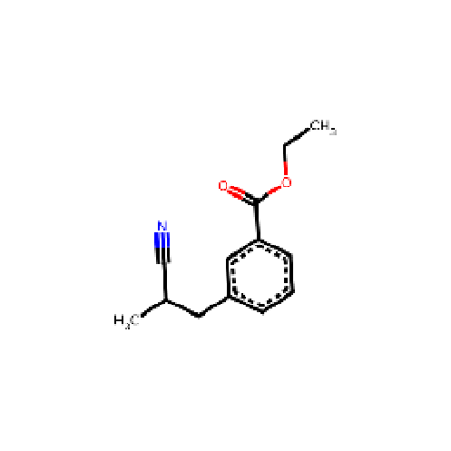 CCOC(=O)c1cccc(CC(C)C#N)c1